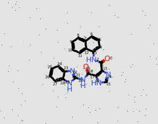 O=C(Nc1cccc2ccccc12)c1nc[nH]c1C(=O)Nc1nc2ccccc2[nH]1